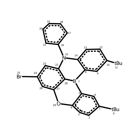 CC(C)(C)c1ccc2c(c1)B1c3cc(C(C)(C)C)ccc3N(c3ccccc3)c3cc(Br)cc(c31)O2